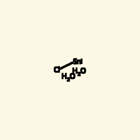 O.O.[Cl][Sn]